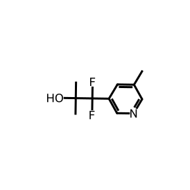 Cc1cncc(C(F)(F)C(C)(C)O)c1